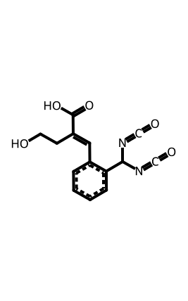 O=C=NC(N=C=O)c1ccccc1C=C(CCO)C(=O)O